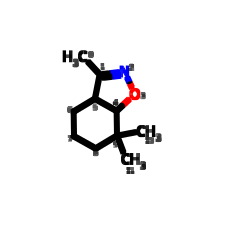 CC1=NOC2C1CCCC2(C)C